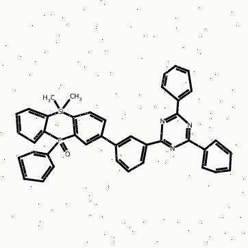 C[Si]1(C)c2ccccc2P(=O)(c2ccccc2)c2cc(-c3cccc(-c4nc(-c5ccccc5)nc(-c5ccccc5)n4)c3)ccc21